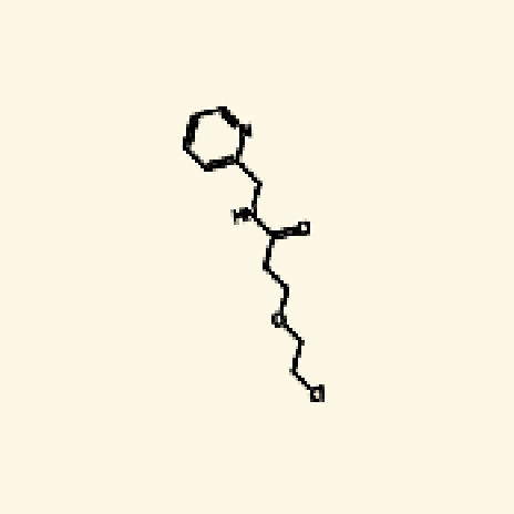 O=C(CCOCCCl)NCc1ccccn1